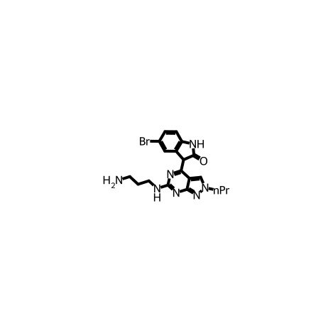 CCCn1cc2c(C3C(=O)Nc4ccc(Br)cc43)nc(NCCCN)nc2n1